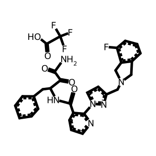 NC(=O)C(=O)C(Cc1ccccc1)NC(=O)c1cccnc1-n1ccc(CN2Cc3cccc(F)c3C2)n1.O=C(O)C(F)(F)F